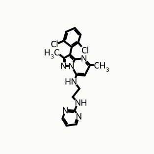 Cc1cc(NCCNc2ncccn2)n2nc(C)c(-c3c(Cl)cccc3Cl)c2n1